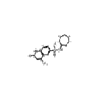 O=c1cc(C(F)(F)F)c2cc(S(=O)(=O)NC3CCCCCC3)ccc2[nH]1